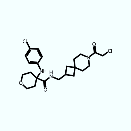 O=C(CCl)N1CCC2(CC1)CC(CNC(=O)C1(Nc3ccc(Cl)cc3)CCOCC1)C2